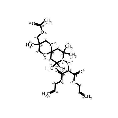 C=CCOC(=O)C(ON1C(C)(C)CC2(CC1(C)C)OCC(C)(COC(C)=O)CO2)C(=O)OCC=C